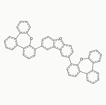 c1ccc2c(c1)Oc1c(-c3ccc4oc5ccc(-c6cccc7c6Oc6ccccc6-c6ccccc6-7)cc5c4c3)cccc1-c1ccccc1-2